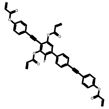 C=CC(=O)Oc1ccc(C#Cc2ccc(-c3cc(OC(=O)C=C)c(C#Cc4ccc(OC(=O)C=C)cc4)c(OC(=O)C=C)c3F)cc2)cc1